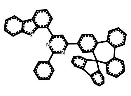 c1ccc(-c2nc(-c3ccc4c(c3)C3(c5ccccc5-c5ccccc5-4)c4ccccc4-c4ccccc43)cc(-c3cccc4c3sc3ccccc34)n2)cc1